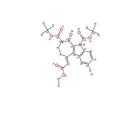 CCOC(=O)/C=C1\CCN(C(=O)OC(C)(C)C)C(=O)c2c1c1cc(F)ccc1n2C(=O)OC(C)(C)C